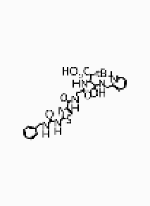 CC(C)(C)[C@H](C(=O)O)C(NC(=O)CNC(=O)c1csc(NC(=O)NCc2ccccc2)n1)C(=O)NCc1ccccn1